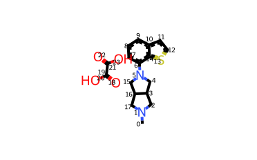 CN1CC2CN(c3cccc4ccsc34)CC2C1.O=C(O)C(=O)O